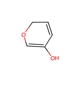 OC1=COCC=C1